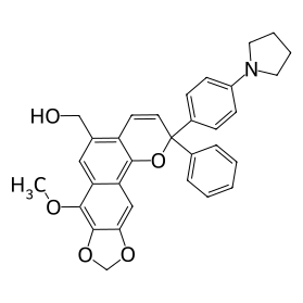 COc1c2c(cc3c4c(c(CO)cc13)C=CC(c1ccccc1)(c1ccc(N3CCCC3)cc1)O4)OCO2